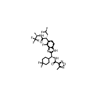 Cc1nonc1C(=O)N[C@H](c1nc2c(F)c([C@@H](CC(F)F)C(=O)N[C@H](C)C(F)(F)F)ccc2[nH]1)C1CCC(F)(F)CC1